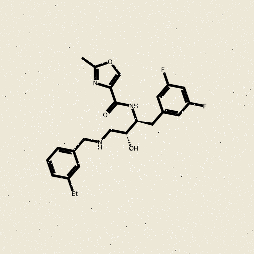 CCc1cccc(CNC[C@@H](O)[C@H](Cc2cc(F)cc(F)c2)NC(=O)c2coc(C)n2)c1